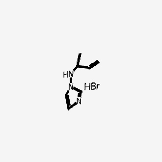 Br.C=CC(C)Nn1ccnc1